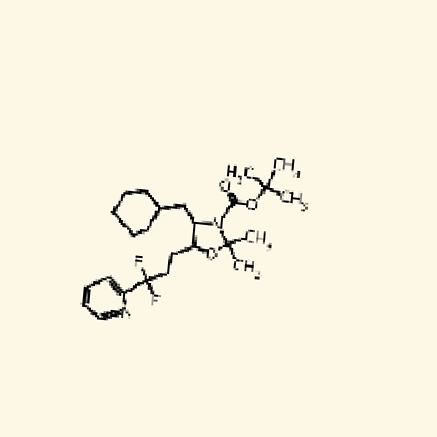 CC(C)(C)OC(=O)N1C(CC2CCCCC2)C(CCC(F)(F)c2ccccn2)OC1(C)C